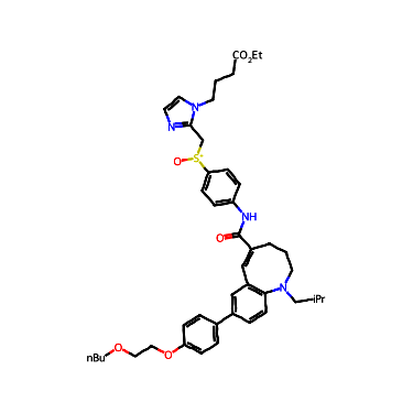 CCCCOCCOc1ccc(-c2ccc3c(c2)C=C(C(=O)Nc2ccc([S+]([O-])Cc4nccn4CCCC(=O)OCC)cc2)CCCN3CC(C)C)cc1